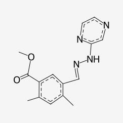 COC(=O)c1cc(/C=N/Nc2cnccn2)c(C)cc1C